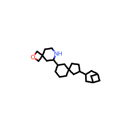 C1CC(C2CC3(CCN2)COC3)CC2(C1)CCC(C1CC3CC(C3)C1)C2